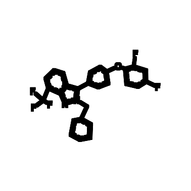 Fc1ccc(Oc2ccc(-c3c4cccc(C(F)(F)F)c4nn3Cc3ccccc3)cc2)c(F)c1